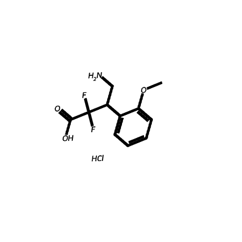 COc1ccccc1C(CN)C(F)(F)C(=O)O.Cl